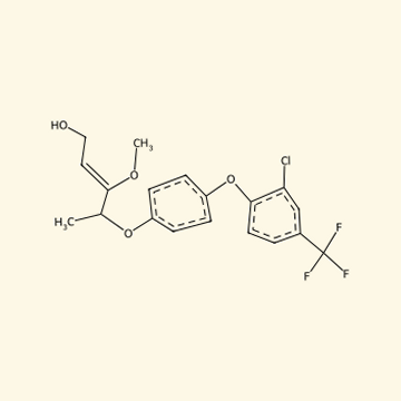 COC(=CCO)C(C)Oc1ccc(Oc2ccc(C(F)(F)F)cc2Cl)cc1